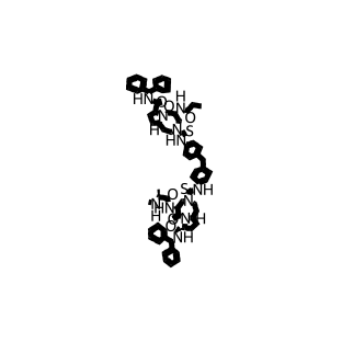 CCC(=O)N[C@H]1CN(C(=S)Nc2ccc(Cc3ccc(NC(=S)N4CC[C@H]5CC[C@@H](C(=O)NC(c6ccccc6)c6ccccc6)N5C(=O)[C@@H](NC(=O)[C@H](C)NC)C4)cc3)cc2)CC[C@H]2CCC(C(=O)NC(c3ccccc3)c3ccccc3)N2C1=O